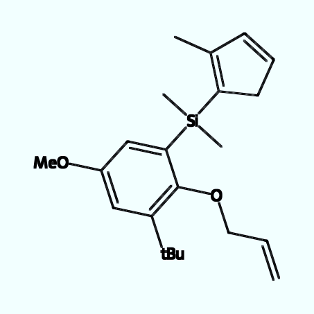 C=CCOc1c(C(C)(C)C)cc(OC)cc1[Si](C)(C)C1=C(C)C=CC1